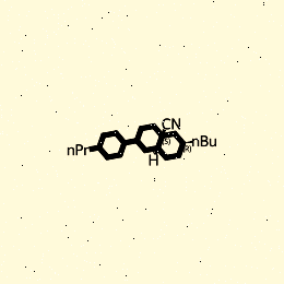 CCCC[C@@H]1CC[C@@H]2CC(C3CCC(CCC)CC3)CC[C@]2(C#N)C1